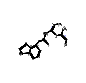 CC/C=C(/C)S/C(=N\C)NC(=O)Cc1cccc2[nH]ccc12